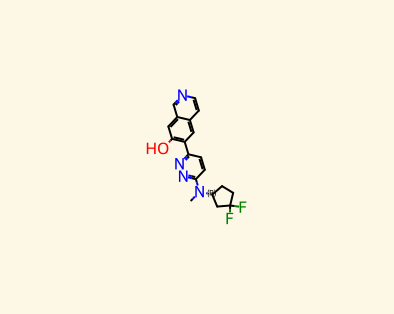 CN(c1ccc(-c2cc3ccncc3cc2O)nn1)[C@@H]1CCC(F)(F)C1